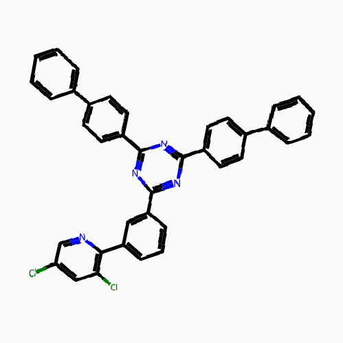 Clc1cnc(-c2cccc(-c3nc(-c4ccc(-c5ccccc5)cc4)nc(-c4ccc(-c5ccccc5)cc4)n3)c2)c(Cl)c1